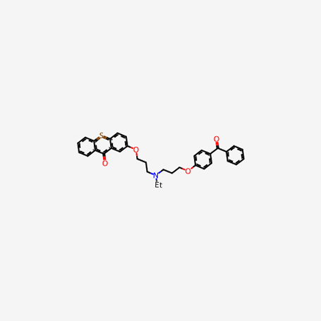 CCN(CCCOc1ccc(C(=O)c2ccccc2)cc1)CCCOc1ccc2sc3ccccc3c(=O)c2c1